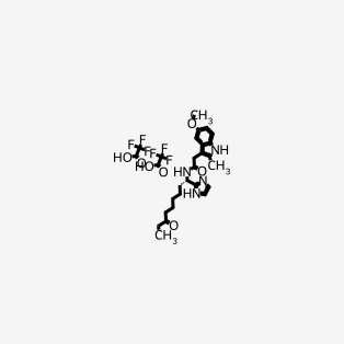 CCC(=O)CCCCC[C@H](NC(=O)Cc1c(C)[nH]c2ccc(OC)cc12)c1ncc[nH]1.O=C(O)C(F)(F)F.O=C(O)C(F)(F)F